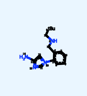 CC(C)(C)CNCc1ccccc1-n1cnc(N)c1